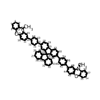 CN1c2ccccc2Oc2ccc(-c3ccc(-c4ccc5c(c4)C4(c6ccccc6-c6ccccc64)c4cc(-c6ccc(-c7ccc8c(c7)N(C)c7ccccc7O8)cc6)ccc4-5)cc3)cc21